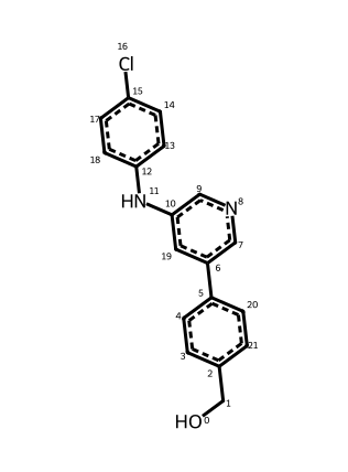 OCc1ccc(-c2cncc(Nc3ccc(Cl)cc3)c2)cc1